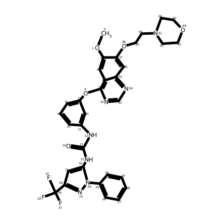 COc1cc2c(Oc3cccc(NC(=O)Nc4cc(C(F)(F)F)nn4-c4ccccc4)c3)ncnc2cc1OCCN1CCOCC1